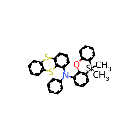 C[Si]1(C)c2ccccc2Oc2c(N(c3ccccc3)c3cccc4c3Sc3ccccc3S4)cccc21